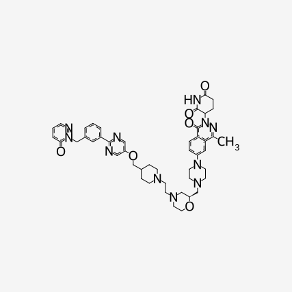 Cc1nn(C2CCC(=O)NC2=O)c(=O)c2ccc(N3CCN(C[C@@H]4CN(CCN5CCC(COc6cnc(-c7cccc(Cn8ncccc8=O)c7)nc6)CC5)CCO4)CC3)cc12